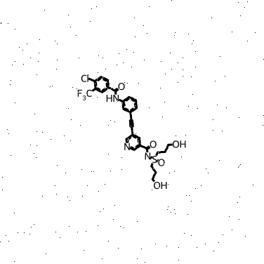 O=C(N=S(=O)(CCCO)CCCO)c1cncc(C#Cc2cccc(NC(=O)c3ccc(Cl)c(C(F)(F)F)c3)c2)c1